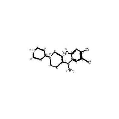 NC(c1cc(Cl)c(Cl)cc1O)C1CCN(C2CCOCC2)CC1